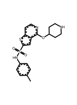 Cc1ccc(NS(=O)(=O)c2cc3c(OC4CCNCC4)nccc3s2)cc1